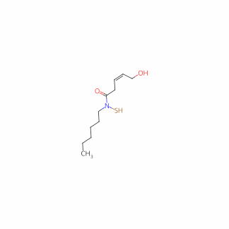 CCCCCCN(S)C(=O)C/C=C\CO